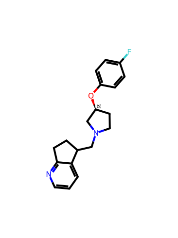 Fc1ccc(O[C@H]2CCN(CC3CCc4ncccc43)C2)cc1